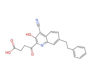 N#Cc1c(O)c(C(=O)CCC(=O)O)nc2cc(CCc3ccccc3)ccc12